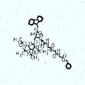 CC(=O)OC[C@H]1O[C@@H](OCC(NC(=O)OCC2c3ccccc3-c3ccccc32)C(=O)NCC(=O)NCC(=O)NCC(=O)NCC(=O)OCc2ccccc2)[C@H](OC(C)=O)[C@@H](OC(C)=O)[C@@H]1OC(C)=O